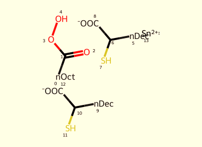 CCCCCCCCC(=O)OO.CCCCCCCCCCC(S)C(=O)[O-].CCCCCCCCCCC(S)C(=O)[O-].[Sn+2]